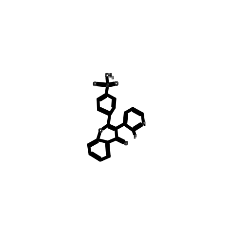 CS(=O)(=O)c1ccc(-c2oc3ccccc3c(=O)c2-c2cccnc2F)cc1